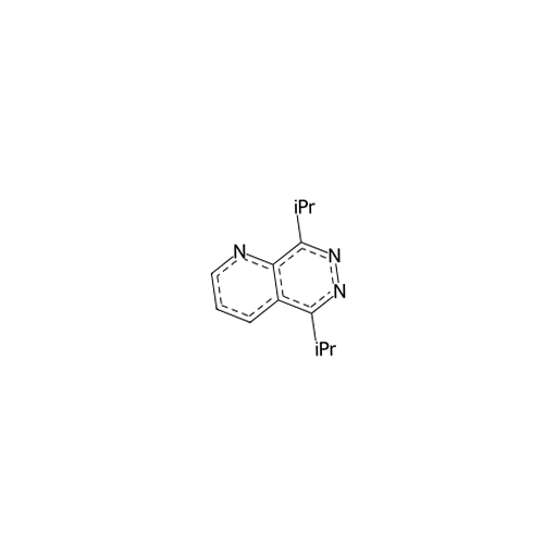 CC(C)c1nnc(C(C)C)c2ncccc12